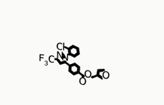 O=C(OCc1ccoc1)c1ccc(-c2cc(C(F)(F)F)nn2-c2ccccc2Cl)cc1